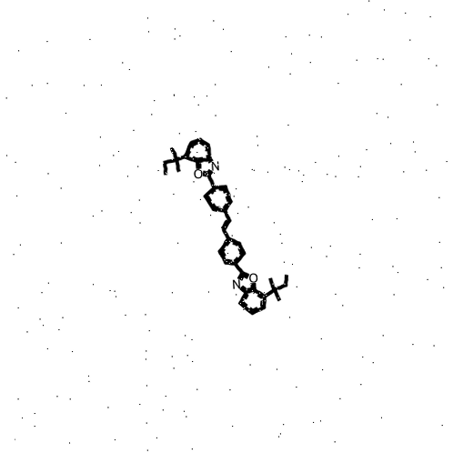 CCC(C)(C)c1cccc2nc(-c3ccc(C=Cc4ccc(-c5nc6cccc(C(C)(C)CC)c6o5)cc4)cc3)oc12